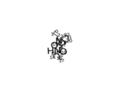 CCCCn1c2c(cc(C(=O)NC(CC)CCC)c1=O)CCCC2